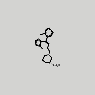 Cc1ccccc1/C(=C/CCN1CCC[C@@H](C(=O)O)C1)c1sccc1C